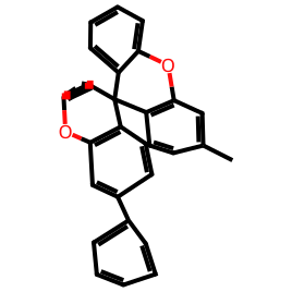 Cc1ccc2c(c1)Oc1ccccc1C21c2ccccc2Oc2cc(-c3ccccc3)ccc21